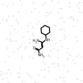 NC(=O)C=C(N)NC1CCCCC1